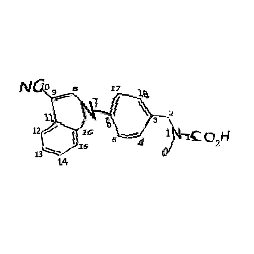 CN(Cc1ccc(-n2cc(C#N)c3ccccc32)cc1)C(=O)O